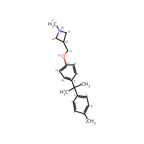 Cc1ccc(C(C)(C)c2ccc(OCC3CN(C)C3)cc2)cc1